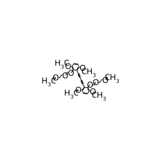 COCCOCOc1c(OC)ccc(OC)c1C#CC#Cc1c(OC)ccc(OC)c1OCOCCOC